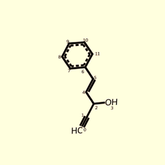 C#CC(O)C=Cc1ccccc1